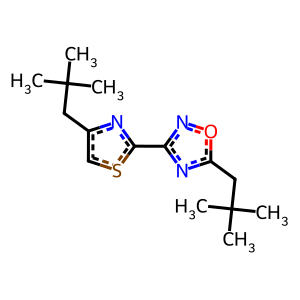 CC(C)(C)Cc1csc(-c2noc(CC(C)(C)C)n2)n1